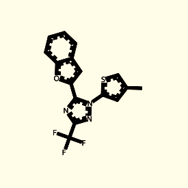 Cc1csc(-n2nc(C(F)(F)F)nc2-c2cc3ccccc3o2)c1